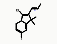 C/C=C/C1=C(CC)C2CC=C(I)C=C2C1(C)C